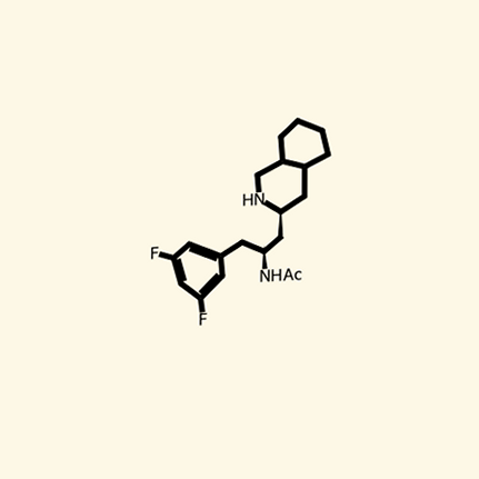 CC(=O)N[C@@H](Cc1cc(F)cc(F)c1)C[C@@H]1CC2CCCCC2CN1